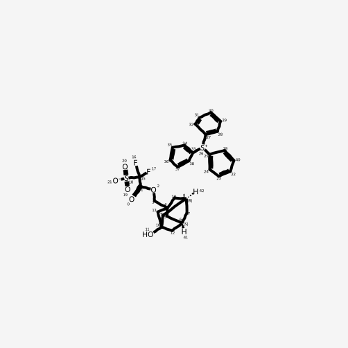 O=C(OCC12C[C@@H]3C[C@@H](CC(O)(C3)C1)C2)C(F)(F)S(=O)(=O)[O-].c1ccc([S+](c2ccccc2)c2ccccc2)cc1